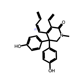 C=C/C=C\C1=C(C=C)C(=O)N(C)CC1(c1ccc(O)cc1)c1ccc(O)cc1